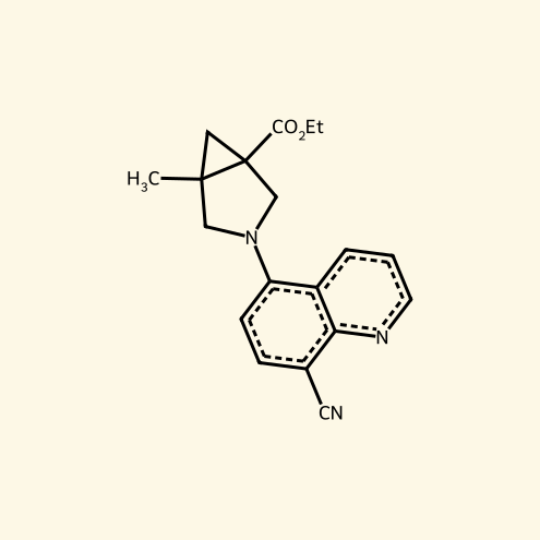 CCOC(=O)C12CN(c3ccc(C#N)c4ncccc34)CC1(C)C2